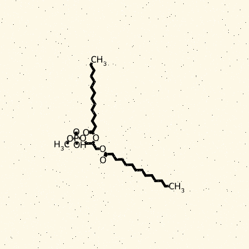 CCCCCCCCCCCCCC(=O)OCC(COP(=O)(O)OC)OC(=O)CCCCCCCCCCCCC